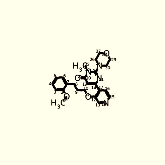 COc1ccccc1CCCOc1cnccc1-c1cc(=O)n(C)c(N2CCOCC2)n1